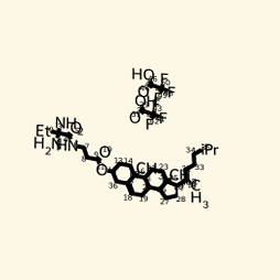 CCC(N)(N)C(=O)NCCC(=O)OC1CC[C@@]2(C)C(=CCC3C2CC[C@@]2(C)C3CC[C@@H]2[C@H](C)CCCC(C)C)C1.O=C(O)C(F)(F)F.O=C(O)C(F)(F)F